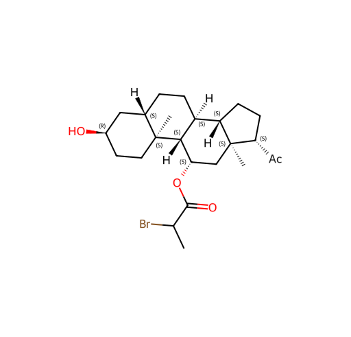 CC(=O)[C@H]1CC[C@H]2[C@@H]3CC[C@H]4C[C@H](O)CC[C@]4(C)[C@H]3[C@@H](OC(=O)C(C)Br)C[C@]12C